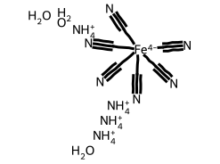 N#[C][Fe-4]([C]#N)([C]#N)([C]#N)([C]#N)[C]#N.O.O.O.[NH4+].[NH4+].[NH4+].[NH4+]